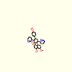 COc1ccc(C2=C(c3cccnc3)C(OC)(c3ccc(OC)cc3)C(c3ccc(OC)cc3)=C(c3ccccn3)[CH]2)cc1